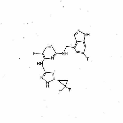 Fc1cc(CNc2ncc(F)c(Nc3cc([C@@H]4CC4(F)F)[nH]n3)n2)c2cn[nH]c2c1